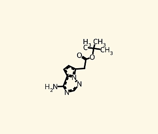 CC(C)(C)OC(=O)Cc1ccc2c(N)ncnn12